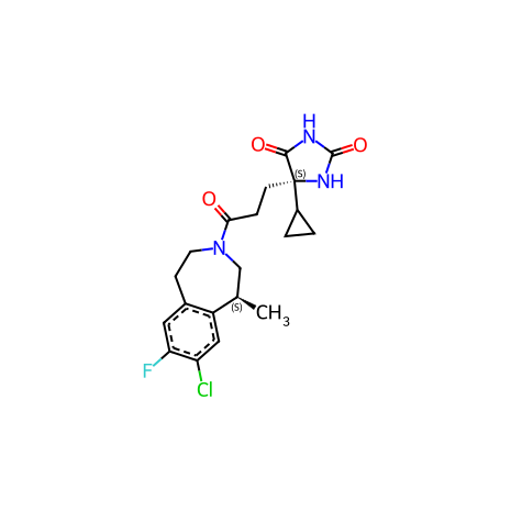 C[C@@H]1CN(C(=O)CC[C@@]2(C3CC3)NC(=O)NC2=O)CCc2cc(F)c(Cl)cc21